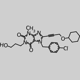 Cn1c(=O)n(CCCO)c(=O)c2c1nc(C#CCOC1CCCCC1)n2Cc1ccc(Cl)cc1